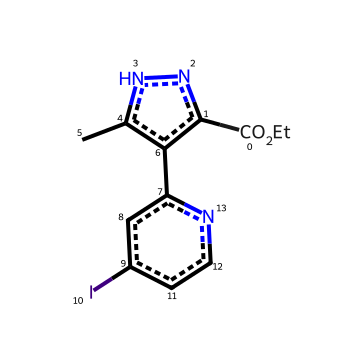 CCOC(=O)c1n[nH]c(C)c1-c1cc(I)ccn1